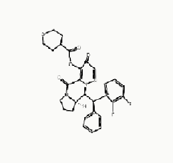 O=C(Oc1c2n(ncc1=O)[C@@H]([C@H](c1ccccc1)c1cccc(F)c1F)[C@H]1CCCN1C2=O)C1CCOCC1